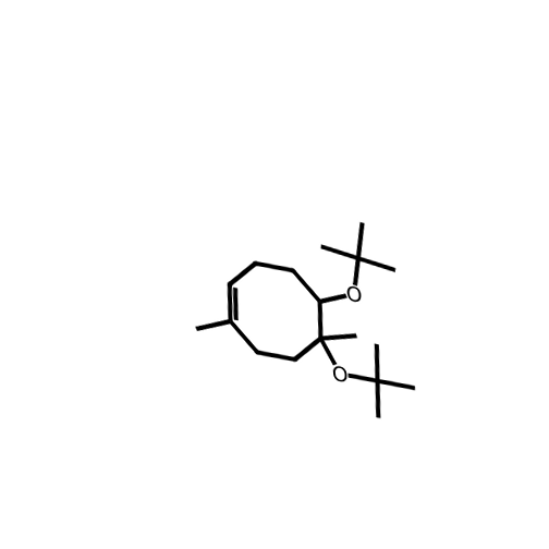 C/C1=C/CCC(OC(C)(C)C)C(C)(OC(C)(C)C)CC1